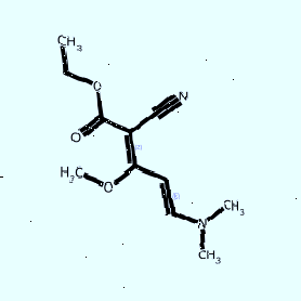 CCOC(=O)/C(C#N)=C(/C=C/N(C)C)OC